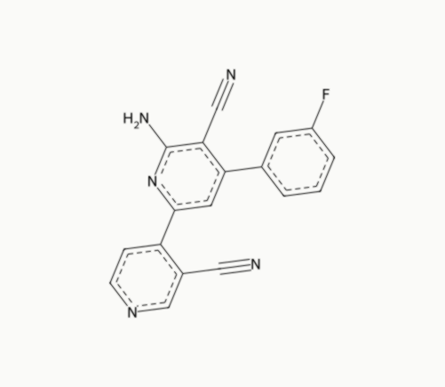 N#Cc1cnccc1-c1cc(-c2cccc(F)c2)c(C#N)c(N)n1